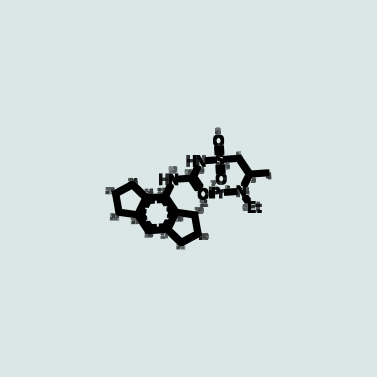 CCN(C(C)C)C(C)CS(=O)(=O)NC(=O)Nc1c2c(cc3c1CCC3)CCC2